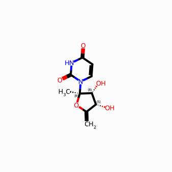 C=C1O[C@@](C)(n2ccc(=O)[nH]c2=O)[C@H](O)[C@@H]1O